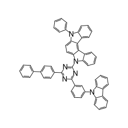 c1ccc(-c2ccc(-c3nc(-c4cccc(-n5c6ccccc6c6ccccc65)c4)nc(-n4c5ccccc5c5c6c7ccccc7n(-c7ccccc7)c6ccc54)n3)cc2)cc1